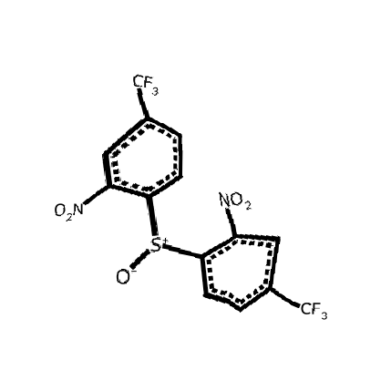 O=[N+]([O-])c1cc(C(F)(F)F)ccc1[S+]([O-])c1ccc(C(F)(F)F)cc1[N+](=O)[O-]